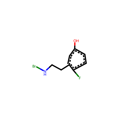 Oc1ccc(F)c(CCNBr)c1